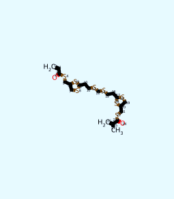 C=CC(=O)SCC1CSC(CCSCSCCC2SCC(CSC(=O)C(=C)C)S2)S1